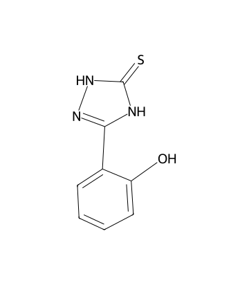 Oc1ccccc1-c1n[nH]c(=S)[nH]1